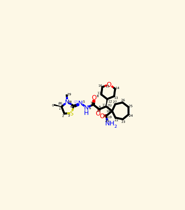 C[C@@H]1CS/C(=N\NC(=O)C(=O)[C@@H](C2CCOCC2)C2(C(N)=O)CCCCCC2)N1C